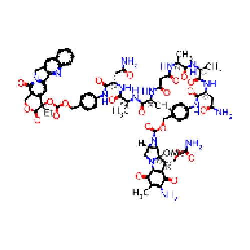 CC[C@@]1(OC(=O)OCc2ccc(NC(=O)[C@H](CC(N)=O)NC(=O)[C@H](C)NC(=O)[C@H](C)NC(=O)CC(=O)N[C@@H](C)C(=O)N[C@@H](C)C(=O)N[C@@H](CC(N)=O)C(=O)Nc3ccc(COC(=O)N4C5[C@@H]4CN4C6=C(C(=O)C(N)=C(C)C6=O)[C@@H](COC(N)=O)[C@@]54OC)cc3)cc2)C(=O)OCc2c1cc1n(c2=O)Cc2cc3ccccc3nc2-1